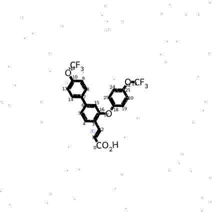 O=C(O)/C=C/c1ccc(-c2ccc(OC(F)(F)F)cc2)cc1Oc1ccc(OC(F)(F)F)cc1